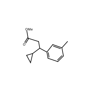 COC(=O)CC(c1cccc(C)c1)C1CC1